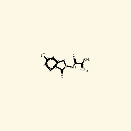 C=C(C)C(=O)NN1Cc2cc(Br)ccc2C1=O